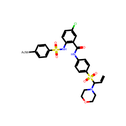 C=CC(N1CCOCC1)S(=O)(=O)c1ccc(NC(=O)c2cc(Cl)ccc2NS(=O)(=O)c2ccc(NC(C)=O)cc2)cc1